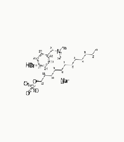 Br.CCCCCCCCCCCCOS(=O)(=O)[O-].CN(C)Cc1ccccc1.[Na+]